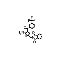 Nc1sc(CN2C(=O)c3ccccc3C2=O)cc1C(=O)c1cccc(C(F)(F)F)c1